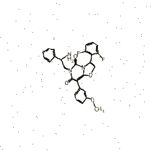 COc1cccc(-c2c3n(c(=O)n(CC(N)c4ccccc4)c2=O)C(c2c(F)cccc2F)CO3)c1